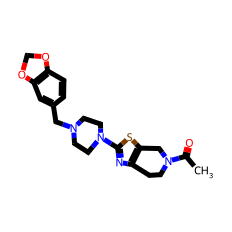 CC(=O)N1CCc2nc(N3CCN(Cc4ccc5c(c4)OCO5)CC3)sc2C1